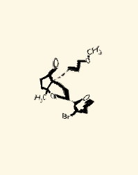 COCCC[C@]12C[C@H](c3occc3Br)OC1(C)CCC2=O